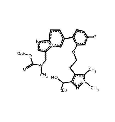 Cc1c(CCOc2cc(F)ccc2-c2ccc3ncc(CN(C)C(=O)OC(C)(C)C)n3c2)c(C(O)C(C)(C)C)nn1C